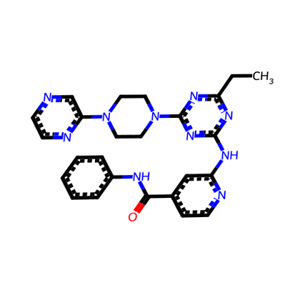 CCc1nc(Nc2cc(C(=O)Nc3ccccc3)ccn2)nc(N2CCN(c3cnccn3)CC2)n1